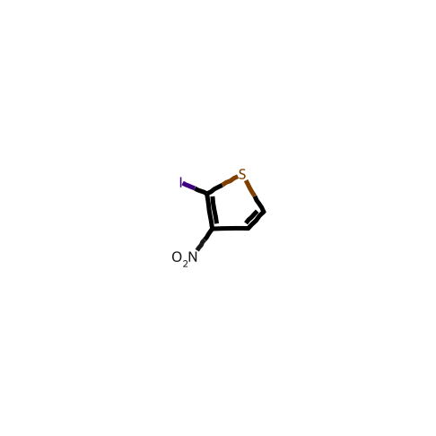 O=[N+]([O-])c1ccsc1I